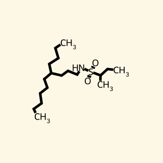 CCCCCCC(CCCC)CCCNS(=O)(=O)C(C)CC